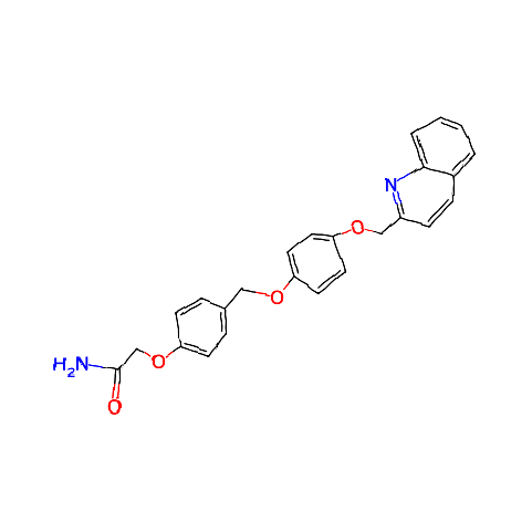 NC(=O)COc1ccc(COc2ccc(OCc3ccc4ccccc4n3)cc2)cc1